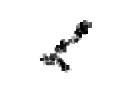 CC(C)(C)OC(=O)N1CCN(CCCOc2ccc(-c3cc4c(Cl)ncnc4n3COCC[Si](C)(C)C)cn2)CC1